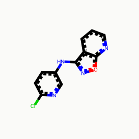 Clc1ccc(Nc2noc3ncccc23)cn1